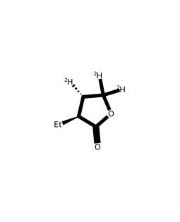 [2H][C@H]1[C@H](CC)C(=O)OC1([2H])[2H]